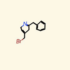 BrCC1=CCN=C(Cc2ccccc2)C1